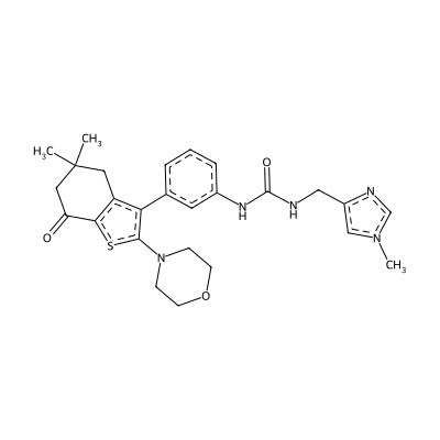 Cn1cnc(CNC(=O)Nc2cccc(-c3c(N4CCOCC4)sc4c3CC(C)(C)CC4=O)c2)c1